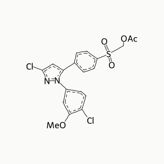 COc1cc(-n2nc(Cl)cc2-c2ccc(S(=O)(=O)COC(C)=O)cc2)ccc1Cl